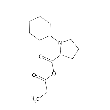 CCC(=O)OC(=O)C1CCCN1C1CCCCC1